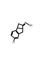 ON=C1CC2c3ccc(Cl)cc3CC12